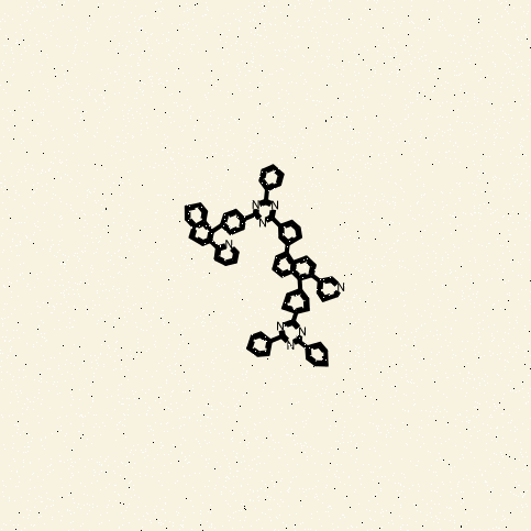 c1ccc(-c2nc(-c3ccccc3)nc(-c3ccc(-c4c(-c5cccnc5)ccc5c(-c6cccc(-c7nc(-c8ccccc8)nc(-c8ccc(-c9c(-c%10ccccn%10)ccc%10ccccc9%10)cc8)n7)c6)cccc45)cc3)n2)cc1